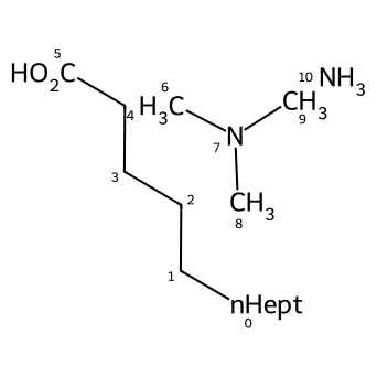 CCCCCCCCCCCC(=O)O.CN(C)C.N